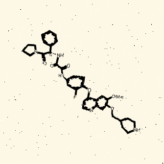 COc1cc2c(Oc3ccc(NC(=O)C(=O)N[C@H](C(=O)N4CCCC4)c4ccccc4)cc3F)ccnc2cc1OCC1CCNCC1